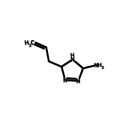 C=CCC1N=NC(N)N1